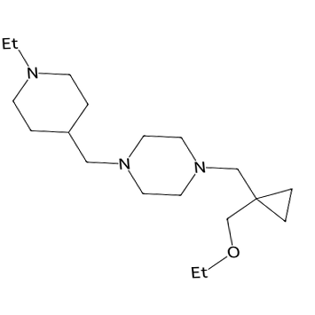 CCOCC1(CN2CCN(CC3CCN(CC)CC3)CC2)CC1